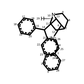 c1ccc(CNC2C3CCN(CC3)[C@@H]2C(c2ccccc2)c2ccccc2)cc1